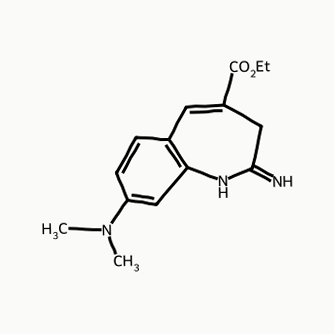 CCOC(=O)C1=Cc2ccc(N(C)C)cc2NC(=N)C1